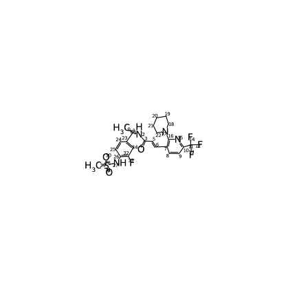 C[C@@H](NC(=O)C=Cc1ccc(C(F)(F)F)nc1N1CCCCC1)c1ccc(NS(C)(=O)=O)c(F)c1